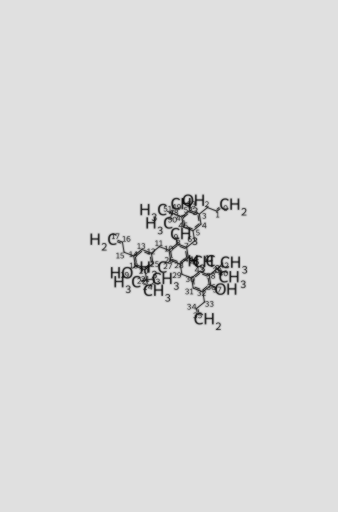 C=CCc1cc(Cc2c(C)c(Cc3cc(CC=C)c(O)c(C(C)(C)C)c3)c(C)c(Cc3cc(CC=C)c(O)c(C(C)(C)C)c3)c2C)cc(C(C)(C)C)c1O